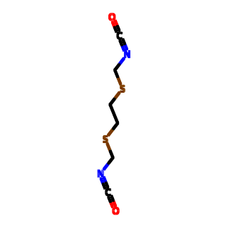 O=C=NCSCCSCN=C=O